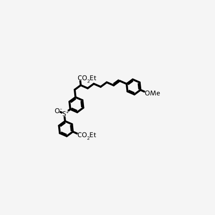 CCOC(=O)c1cccc([S+]([O-])c2cccc(CC(CCCCC=Cc3ccc(OC)cc3)C(=O)OCC)c2)c1